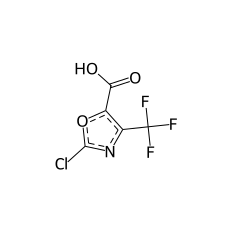 O=C(O)c1oc(Cl)nc1C(F)(F)F